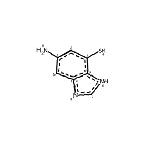 Nc1cc(S)c2[nH]cnc2c1